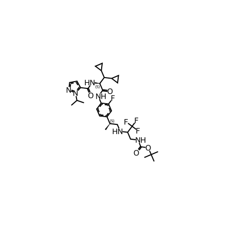 CC(C)n1nccc1C(=O)N[C@H](C(=O)Nc1ccc([C@H](C)CNC(CNC(=O)OC(C)(C)C)C(F)(F)F)cc1F)C(C1CC1)C1CC1